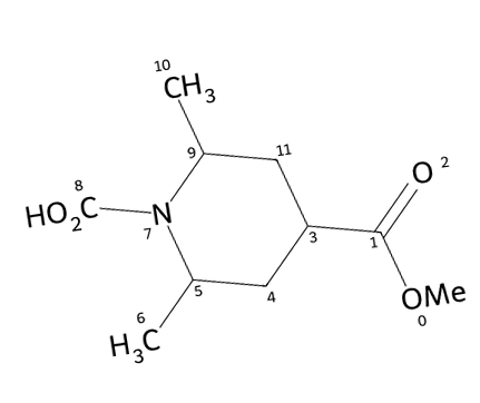 COC(=O)C1CC(C)N(C(=O)O)C(C)C1